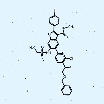 CCS(=O)(=O)Nc1cc2oc(-c3ccc(F)cc3)c(C(=O)NC)c2cc1-c1ccc(C(F)COCc2ccccc2)c(Cl)n1